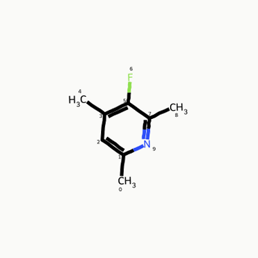 Cc1cc(C)c(F)c(C)n1